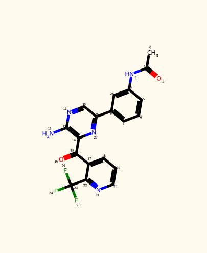 CC(=O)Nc1cccc(-c2cnc(N)c(C(=O)c3cccnc3C(F)(F)F)n2)c1